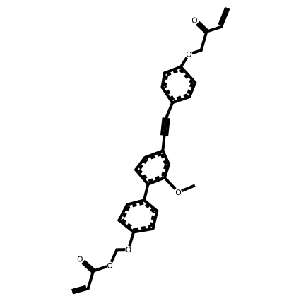 C=CC(=O)COc1ccc(C#Cc2ccc(-c3ccc(OCOC(=O)C=C)cc3)c(OC)c2)cc1